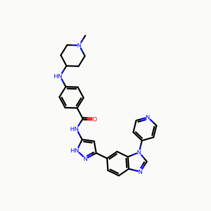 CN1CCC(Nc2ccc(C(=O)Nc3cc(-c4ccc5ncn(-c6ccncc6)c5c4)n[nH]3)cc2)CC1